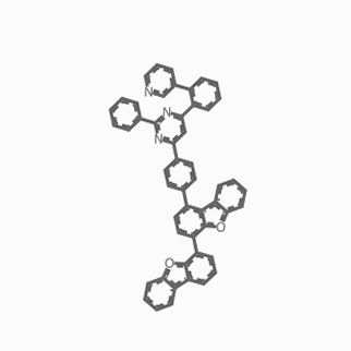 c1ccc(-c2nc(-c3ccc(-c4ccc(-c5cccc6c5oc5ccccc56)c5oc6ccccc6c45)cc3)cc(-c3ccccc3-c3cccnc3)n2)cc1